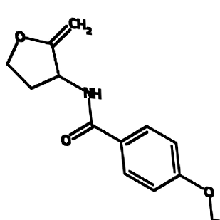 C=C1OCCC1NC(=O)c1ccc(OC(C)C)cc1